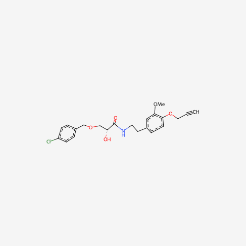 C#CCOc1ccc(CCNC(=O)[C@H](O)COCc2ccc(Cl)cc2)cc1OC